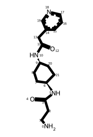 NCCC(=O)N[C@H]1CC[C@H](NC(=O)Cc2cccnc2)CC1